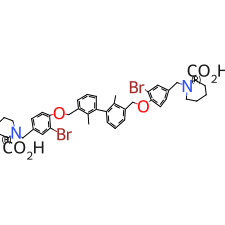 Cc1c(COc2ccc(CN3CCCC[C@@H]3C(=O)O)cc2Br)cccc1-c1cccc(COc2ccc(CN3CCCC[C@@H]3C(=O)O)cc2Br)c1C